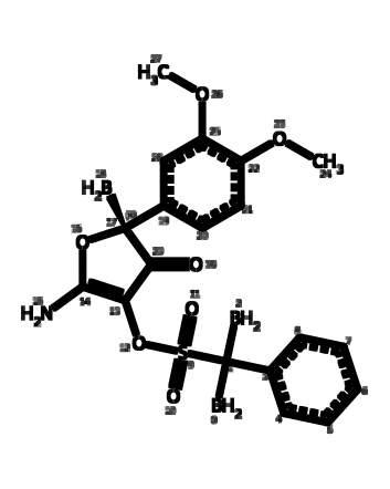 BC(B)(c1ccccc1)S(=O)(=O)OC1=C(N)O[C@](B)(c2ccc(OC)c(OC)c2)C1=O